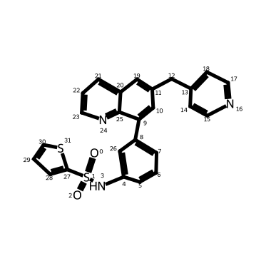 O=S(=O)(Nc1cccc(-c2cc(Cc3ccncc3)cc3cccnc23)c1)c1cccs1